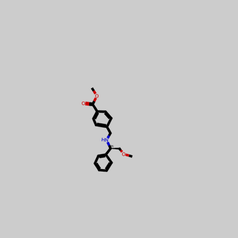 COC[C@H](NCc1ccc(C(=O)OC)cc1)c1ccccc1